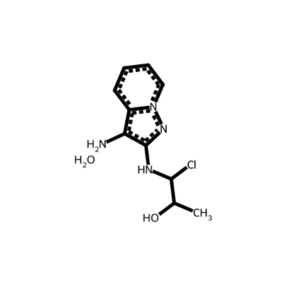 CC(O)C(Cl)Nc1nn2ccccc2c1N.O